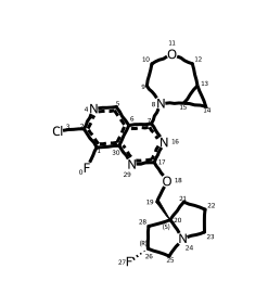 Fc1c(Cl)ncc2c(N3CCOCC4CC43)nc(OC[C@@]34CCCN3C[C@H](F)C4)nc12